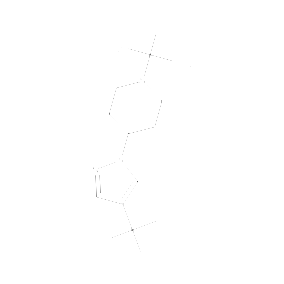 CC(C)(C)N1CCC(n2cc(C(F)(F)F)cn2)CC1